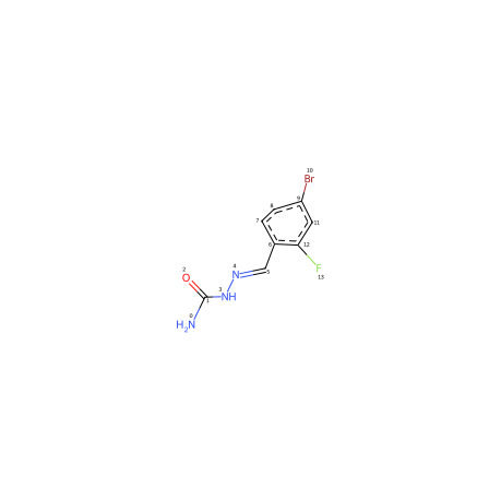 NC(=O)NN=Cc1ccc(Br)cc1F